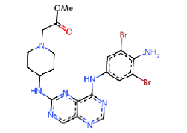 COC(=O)CN1CCC(Nc2ncc3ncnc(Nc4cc(Br)c(N)c(Br)c4)c3n2)CC1